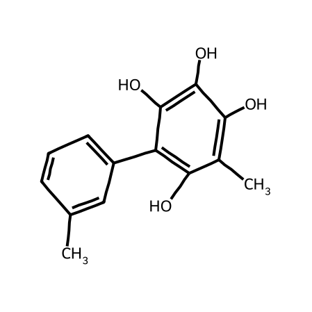 Cc1cccc(-c2c(O)c(C)c(O)c(O)c2O)c1